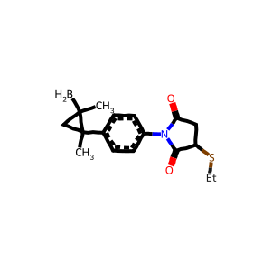 BC1(C)CC1(C)c1ccc(N2C(=O)CC(SCC)C2=O)cc1